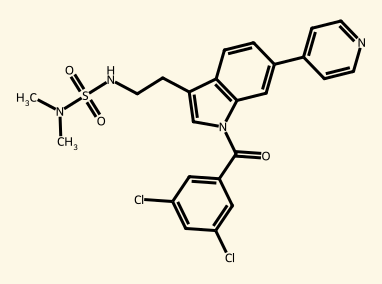 CN(C)S(=O)(=O)NCCc1cn(C(=O)c2cc(Cl)cc(Cl)c2)c2cc(-c3ccncc3)ccc12